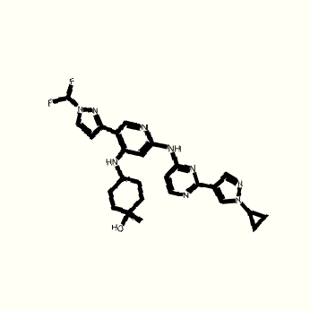 CC1(O)CCC(Nc2cc(Nc3ccnc(-c4cnn(C5CC5)c4)n3)ncc2-c2ccn(C(F)F)n2)CC1